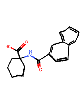 O=C(NC1(C(=O)O)CCCCC1)c1ccc2ccccc2c1